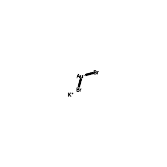 [Br][Au-][Br].[K+]